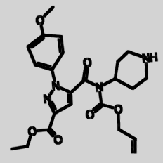 C=CCOC(=O)N(C(=O)c1cc(C(=O)OCC)nn1-c1ccc(OC)cc1)C1CCNCC1